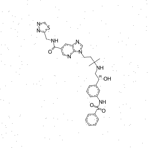 CC(C)(CCn1cnc2cc(C(=O)NCc3nncs3)cnc21)NC[C@H](O)c1cccc(NS(=O)(=O)c2ccccc2)c1